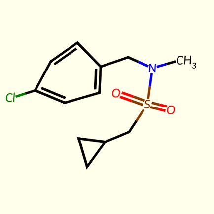 CN(Cc1ccc(Cl)cc1)S(=O)(=O)CC1CC1